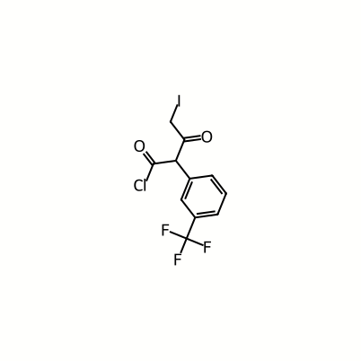 O=C(Cl)C(C(=O)CI)c1cccc(C(F)(F)F)c1